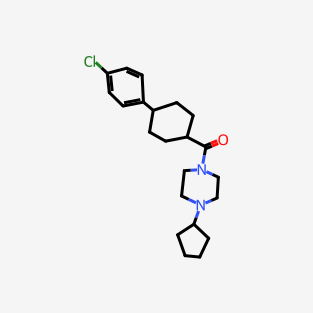 O=C(C1CCC(c2ccc(Cl)cc2)CC1)N1CCN(C2CCCC2)CC1